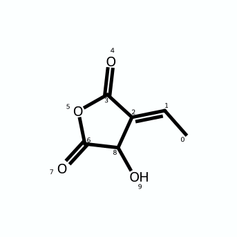 CC=C1C(=O)OC(=O)C1O